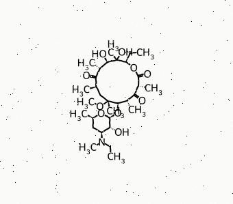 CC[C@H]1OC(=O)[C@H](C)C(=O)[C@H](C)[C@@H](O[C@@H]2O[C@H](C)C[C@H](N(C)CC)[C@H]2O)[C@](C)(OC)C[C@@H](C)C(=O)[C@H](C)[C@@H](O)[C@]1(C)O